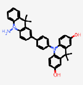 CC1(C)c2ccccc2N(N)c2ccc(-c3ccc(N4c5ccc(O)cc5C(C)(C)c5cc(O)ccc54)cc3)cc21